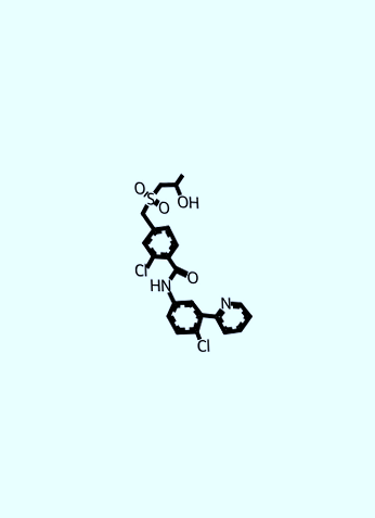 CC(O)CS(=O)(=O)Cc1ccc(C(=O)Nc2ccc(Cl)c(-c3ccccn3)c2)c(Cl)c1